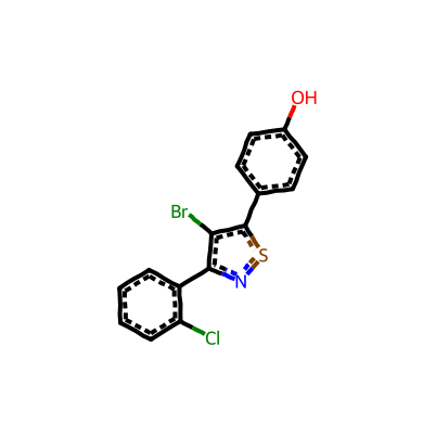 Oc1ccc(-c2snc(-c3ccccc3Cl)c2Br)cc1